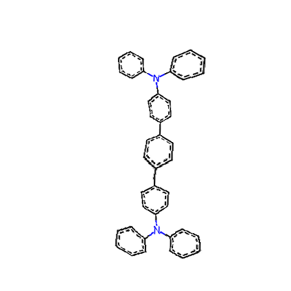 c1ccc(N(c2ccccc2)c2ccc(-c3ccc(-c4ccc(N(c5ccccc5)c5ccccc5)cc4)cc3)cc2)cc1